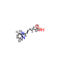 CC(/C=C/C#Cc1cnc2c(n1)C(C)(C)CCC2(C)C)=C\C(=O)O